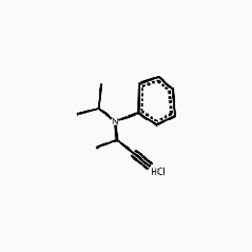 C#CC(C)N(c1ccccc1)C(C)C.Cl